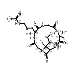 C[C@@H]1NC(=O)CNC(=O)[C@H](CCCNC(=N)N)NC(=O)CN2C(=O)C(NC1=O)[C@H]2[C@H](O)CO